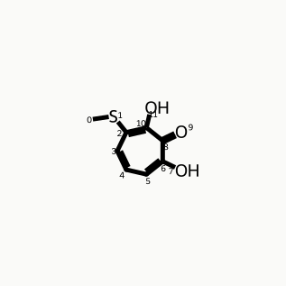 CSc1cccc(O)c(=O)c1O